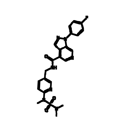 CN(C)S(=O)(=O)N(C)c1ccc(CNC(=O)c2cncc3c2cnn3-c2ccc(F)cc2)cn1